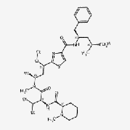 CCO[C@H](C[C@H](C(C)C)N(C)C(=O)[C@@H](NC(=O)[C@H]1CCCCN1C)C(CC)CC)c1nc(C(=O)N[C@@H](Cc2ccccc2)C[C@H](C)C(=O)O)cs1